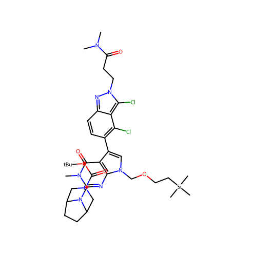 CN(C)C(=O)CCn1nc2ccc(-c3cn(COCC[Si](C)(C)C)c4nc(N5C6CCC5CN(C(=O)OC(C)(C)C)C6)n(C)c(=O)c34)c(Cl)c2c1Cl